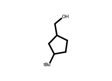 CC(C)(C)C1CCC(CO)C1